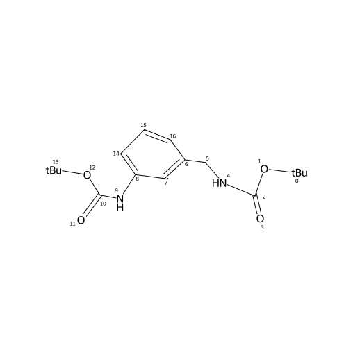 CC(C)(C)OC(=O)NCc1[c]c(NC(=O)OC(C)(C)C)ccc1